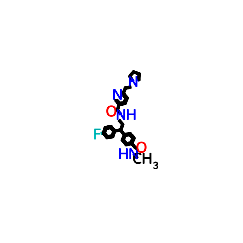 CNC(=O)c1ccc(C(CCNC(=O)c2ccc(CCN3CCCC3)nc2)c2ccc(F)cc2)cc1